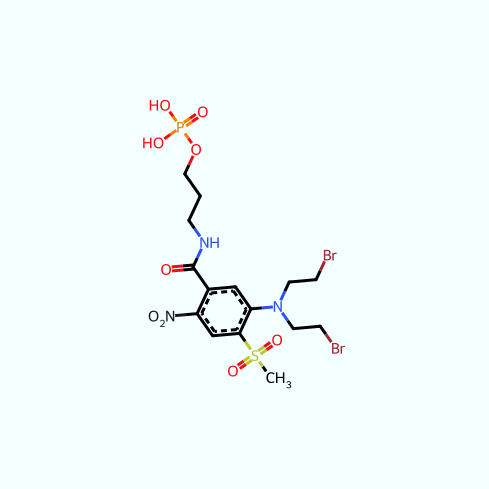 CS(=O)(=O)c1cc([N+](=O)[O-])c(C(=O)NCCCOP(=O)(O)O)cc1N(CCBr)CCBr